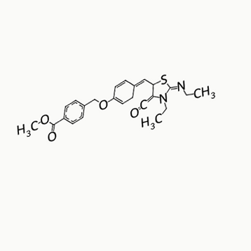 CCN=C1SC(C=C2C=CC(OCc3ccc(C(=O)OC)cc3)=CC2)C(=C=O)N1CC